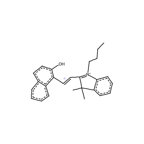 CCCC[N+]1=C(/C=C/c2c(O)ccc3ccccc23)C(C)(C)c2ccccc21